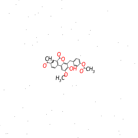 COc1cc2c(oc(=O)c3cc(C(C)=O)ccc32)c(Cc2ccc(OC(C)=O)cc2)c1O